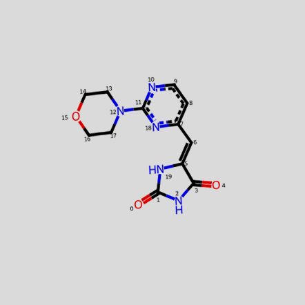 O=C1NC(=O)C(=Cc2ccnc(N3CCOCC3)n2)N1